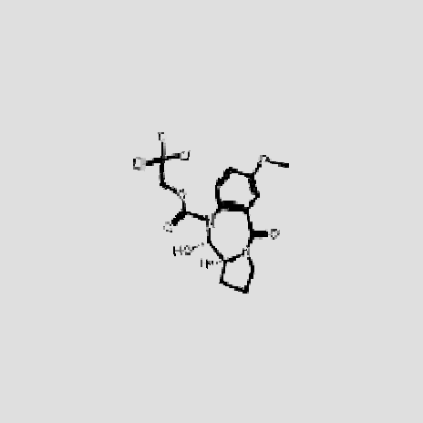 COc1ccc2c(c1)C(=O)N1CCC[C@H]1[C@H](O)N2C(=O)OCC(Cl)(Cl)Cl